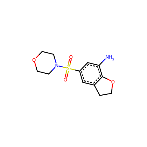 Nc1cc(S(=O)(=O)N2CCOCC2)cc2c1OCC2